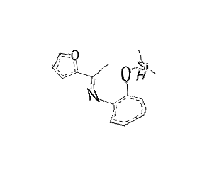 CC(=Nc1ccccc1O[SiH](C)C)c1ccco1